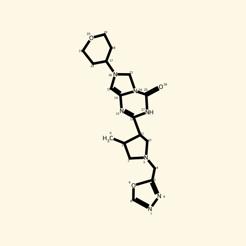 CC1CN(Cc2nnco2)CC1C1=NC2=CN(C3CCOCC3)CN2C(=O)N1